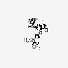 C=CC(=O)N(C)C1CC(Oc2nc(Nc3cn[nH]c3)nc3[nH]cc(Cl)c23)C1